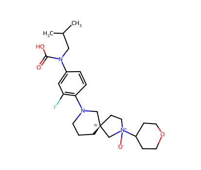 CC(C)CN(C(=O)O)c1ccc(N2CCC[C@]3(CC[N+]([O-])(C4CCOCC4)C3)C2)c(F)c1